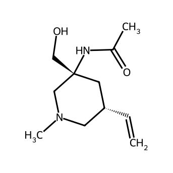 C=C[C@@H]1CN(C)C[C@](CO)(NC(C)=O)C1